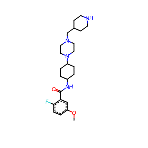 COc1ccc(F)c(C(=O)NC2CCC(N3CCN(CC4CCNCC4)CC3)CC2)c1